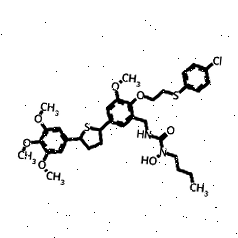 CCCCN(O)C(=O)NCc1cc(C2CCC(c3cc(OC)c(OC)c(OC)c3)S2)cc(OC)c1OCCSc1ccc(Cl)cc1